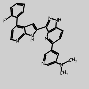 CN(C)c1cncc(-c2ccc3[nH]nc(-c4cc5c(-c6ccccc6F)ccnc5[nH]4)c3n2)c1